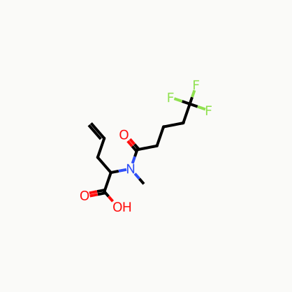 C=CCC(C(=O)O)N(C)C(=O)CCCC(F)(F)F